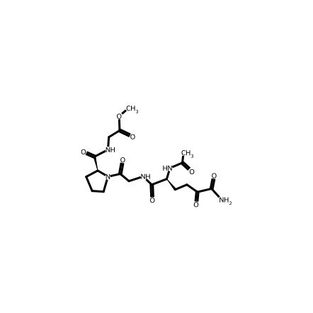 COC(=O)CNC(=O)[C@@H]1CCCN1C(=O)CNC(=O)[C@H](CCC(=O)C(N)=O)NC(C)=O